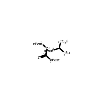 CCCCCC(CCCC)C(=O)O.CCCCCOC(=O)CCCCC